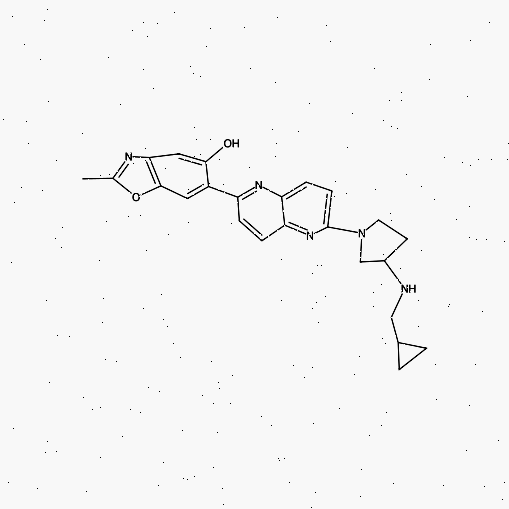 Cc1nc2cc(O)c(-c3ccc4nc(N5CCC(NCC6CC6)C5)ccc4n3)cc2o1